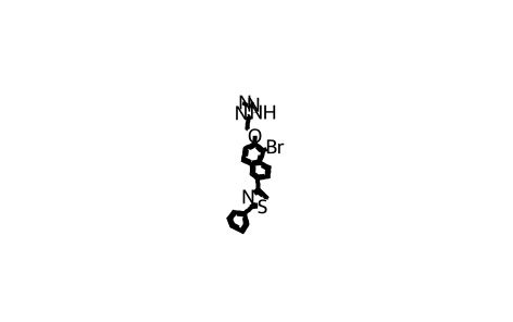 Brc1c(OCc2nnn[nH]2)ccc2cc(-c3csc(-c4ccccc4)n3)ccc12